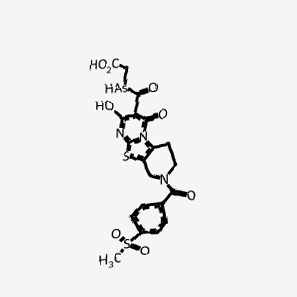 CS(=O)(=O)c1ccc(C(=O)N2CCc3c(sc4nc(O)c(C(=O)[AsH]CC(=O)O)c(=O)n34)C2)cc1